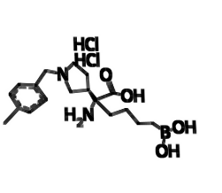 Cc1ccc(CN2CC[C@@H](C(N)(CCCCB(O)O)C(=O)O)C2)cc1.Cl.Cl